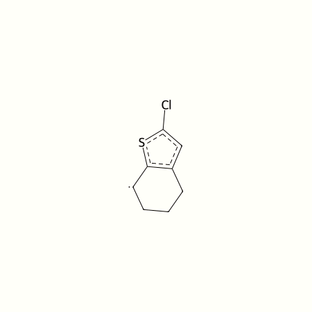 Clc1cc2c(s1)[CH]CCC2